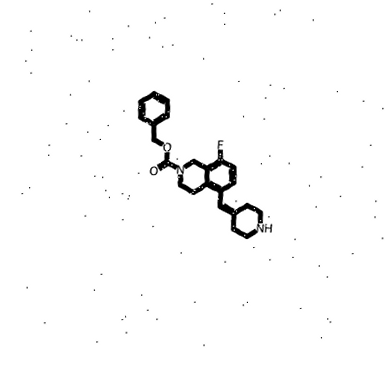 O=C(OCc1ccccc1)N1CCc2c(C=C3CCNCC3)ccc(F)c2C1